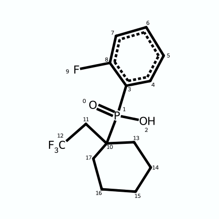 O=P(O)(c1ccccc1F)C1(CC(F)(F)F)CCCCC1